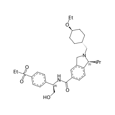 CCO[C@H]1CC[C@H](CN2Cc3cc(C(=O)N[C@@H](CO)c4ccc(S(=O)(=O)CC)cc4)ccc3[C@@H]2C(C)C)CC1